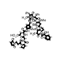 CC[C@H](C)[C@@H]([C@@H](CC(=O)N1CCC[C@H]1[C@H](OC)[C@@H](C)C(=O)N[C@H](C)[C@@H](O)c1ccccc1)OC)N(C)C(=O)[C@@H](NC(=O)[C@H](C(C)C)N(C)C(=O)OCc1ccc(NC(=O)[C@H](CCC(=O)O)NC(=O)CNC(=O)[C@@H]2CCCN2C(=O)CCN2C(=O)C=CC2=O)cc1)C(C)C